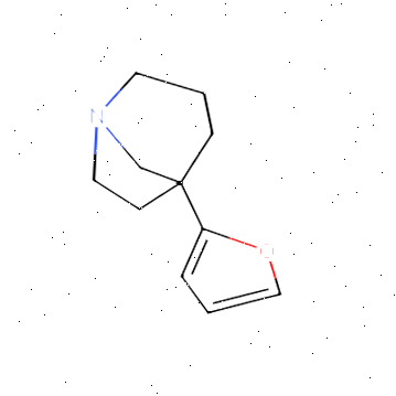 c1coc(C23CCCN(CC2)C3)c1